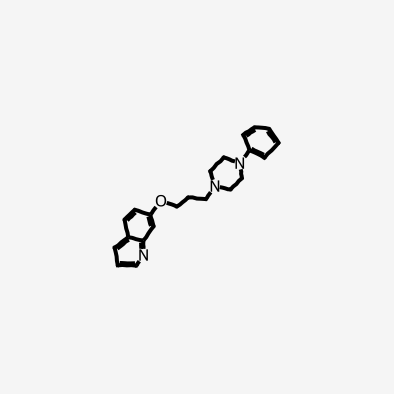 c1ccc(N2CCN(CCCOc3ccc4cccnc4c3)CC2)cc1